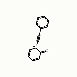 O=C1C=CC=C[C@@H]1C#Cc1ccccc1